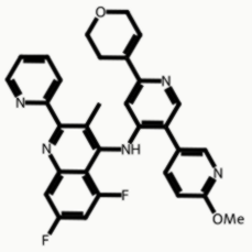 COc1ccc(-c2cnc(C3=CCOCC3)cc2Nc2c(C)c(-c3ccccn3)nc3cc(F)cc(F)c23)cn1